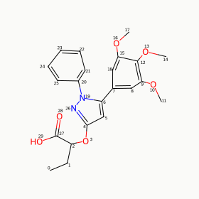 CCC(Oc1cc(-c2cc(OC)c(OC)c(OC)c2)n(-c2ccccc2)n1)C(=O)O